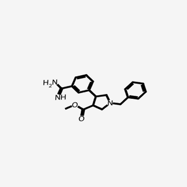 COC(=O)C1CN(Cc2ccccc2)CC1c1cccc(C(=N)N)c1